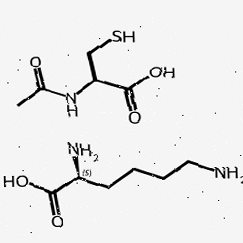 CC(=O)NC(CS)C(=O)O.NCCCC[C@H](N)C(=O)O